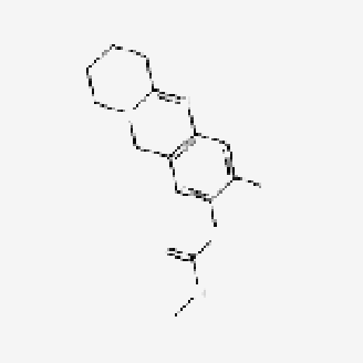 CNC(=O)Oc1cc2c(cc1Cl)N=C1CCCCN1C2